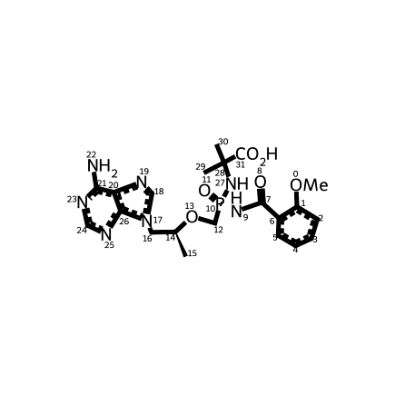 COc1ccccc1C(=O)NP(=O)(CO[C@@H](C)Cn1cnc2c(N)ncnc21)NC(C)(C)C(=O)O